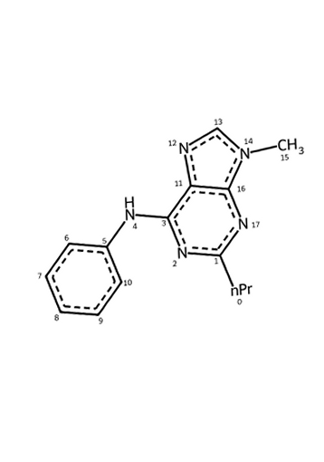 CCCc1nc(Nc2ccccc2)c2ncn(C)c2n1